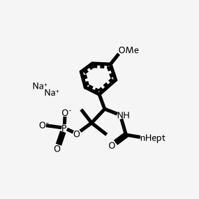 CCCCCCCC(=O)NC(c1cccc(OC)c1)C(C)(C)OP(=O)([O-])[O-].[Na+].[Na+]